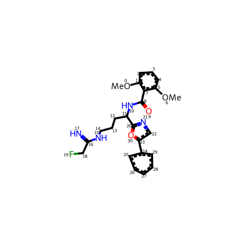 COc1cccc(OC)c1C(=O)NC(CCCNC(=N)CF)c1ncc(-c2ccccc2)o1